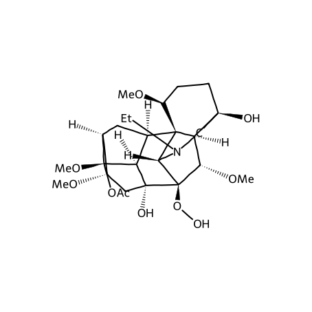 CCN1C[C@]2(O)CC[C@H](OC)[C@@]34[C@@H]5C[C@@H]6[C@@H](OC)C[C@@](O)([C@H]5[C@]6(OC)OC(C)=O)[C@@](OO)([C@@H](OC)[C@H]23)[C@@H]14